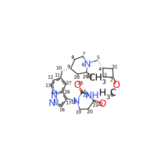 CO[C@H]1C[C@H](CN2CC[C@@H](Cc3ccn4ncc(N5CCC(=O)NC5=O)c4c3)C[C@@H]2C)C1